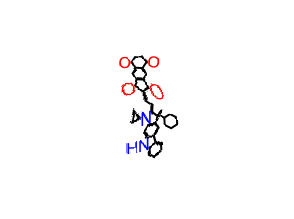 CC1(C2CCCCC2)/C(=C/C=C2C(=O)c3cc4c(cc3C2=O)C(=O)CCC4=O)N(C2CC2)c2cc3[nH]c4ccccc4c3cc21